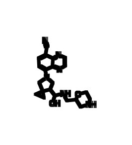 N#Cc1ccc(N2CC(C(O)NCC3CNCCO3)C3(CC3)C2)c2nccnc12